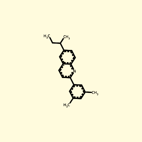 CCC(C)c1ccc2nc(-c3cc(C)cc(C)c3)ccc2c1